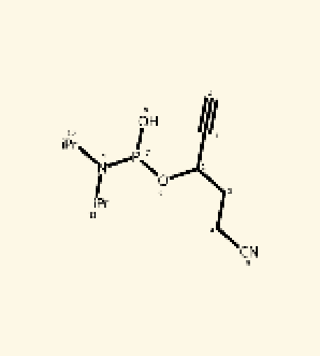 C#CC(CCC#N)OP(O)N(C(C)C)C(C)C